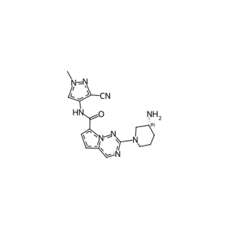 Cn1cc(NC(=O)c2ccc3cnc(N4CCC[C@@H](N)C4)nn23)c(C#N)n1